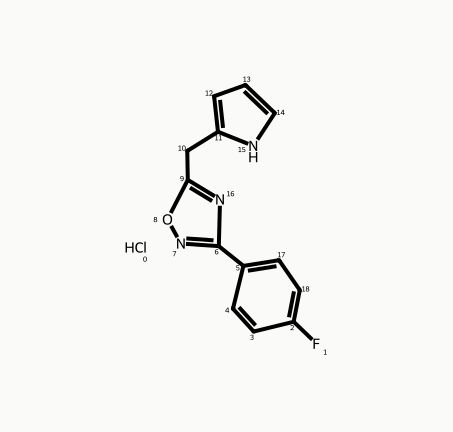 Cl.Fc1ccc(-c2noc(Cc3ccc[nH]3)n2)cc1